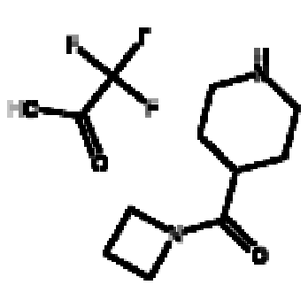 O=C(C1CCNCC1)N1CCC1.O=C(O)C(F)(F)F